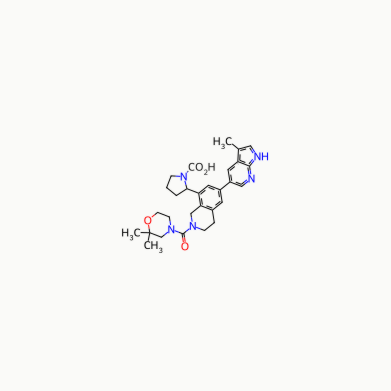 Cc1c[nH]c2ncc(-c3cc4c(c(C5CCCN5C(=O)O)c3)CN(C(=O)N3CCOC(C)(C)C3)CC4)cc12